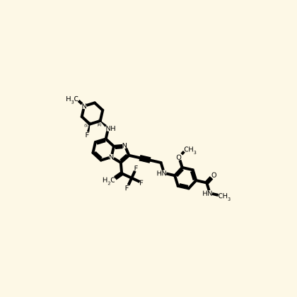 C=C(c1c(C#CCNc2ccc(C(=O)NC)cc2OC)nc2c(N[C@@H]3CCN(C)C[C@@H]3F)cccn12)C(F)(F)F